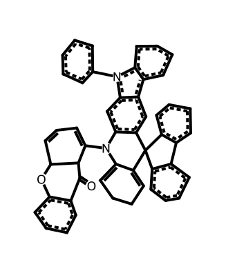 O=C1c2ccccc2OC2C=CC=C(N3C4=CCCC=C4C4(c5ccccc5-c5ccccc54)c4cc5c6ccccc6n(-c6ccccc6)c5cc43)C12